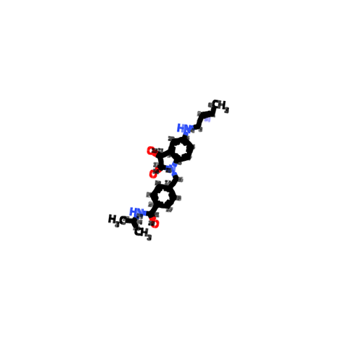 C/C=C/CNc1ccc2c(c1)C(=O)C(=O)N2Cc1ccc(C(=O)NC(C)C)cc1